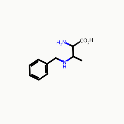 CC(NCc1ccccc1)C(N)C(=O)O